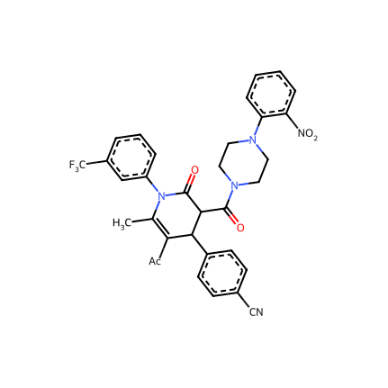 CC(=O)C1=C(C)N(c2cccc(C(F)(F)F)c2)C(=O)C(C(=O)N2CCN(c3ccccc3[N+](=O)[O-])CC2)C1c1ccc(C#N)cc1